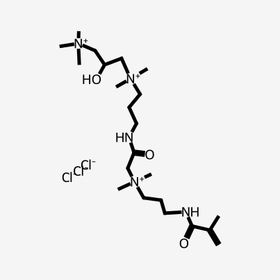 C=C(C)C(=O)NCCC[N+](C)(C)CC(=O)NCCC[N+](C)(C)CC(O)C[N+](C)(C)C.[Cl-].[Cl-].[Cl-]